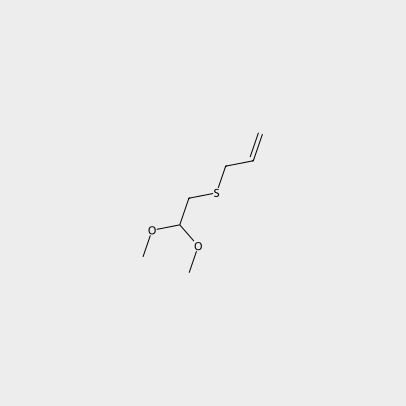 C=CCSCC(OC)OC